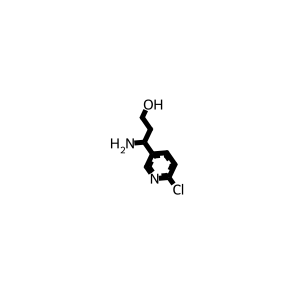 NC(CCO)c1ccc(Cl)nc1